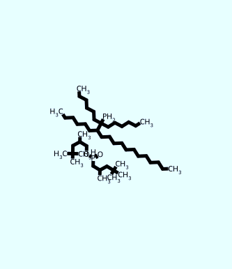 CC(CO[PH](=O)CC(C)CC(C)(C)C)CC(C)(C)C.CCCCCCCCCCCCC(CCCCCC)C(P)(CCCCCC)CCCCCC